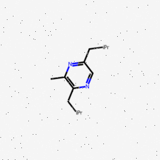 Cc1nc(CC(C)C)cnc1CC(C)C